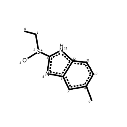 CC[S+]([O-])c1nc2cc(C)ccc2[nH]1